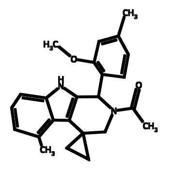 COc1cc(C)ccc1C1c2[nH]c3cccc(C)c3c2C2(CC2)CN1C(C)=O